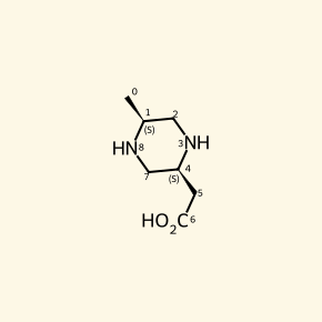 C[C@H]1CN[C@@H](CC(=O)O)CN1